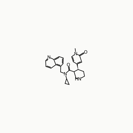 Cn1ccc([C@H]2CCNCC2C(=O)N(Cc2cccc3ncccc23)C2CC2)cc1=O